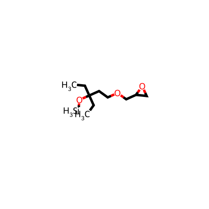 CCC(CC)(CCOCC1CO1)O[SiH3]